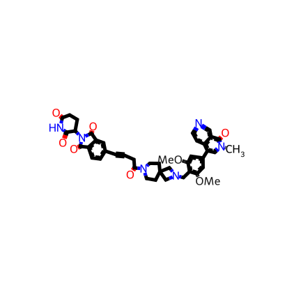 COc1cc(-c2cn(C)c(=O)c3cnccc23)cc(OC)c1CN1CC2(CCN(C(=O)CC#Cc3ccc4c(c3)C(=O)N(C3CCC(=O)NC3=O)C4=O)CC2)C1